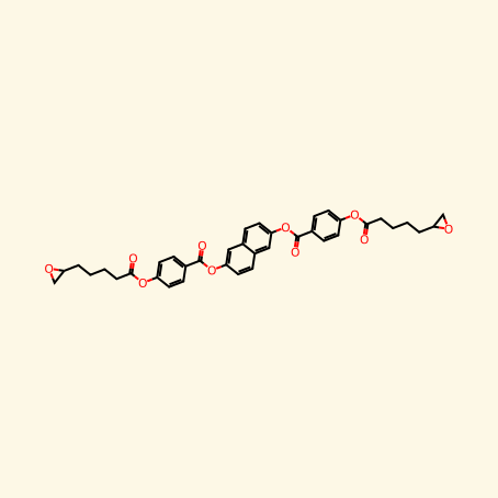 O=C(CCCCC1CO1)Oc1ccc(C(=O)Oc2ccc3cc(OC(=O)c4ccc(OC(=O)CCCCC5CO5)cc4)ccc3c2)cc1